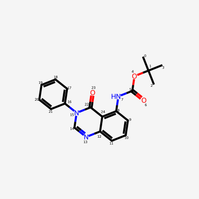 CC(C)(C)OC(=O)Nc1cccc2ncn(-c3ccccc3)c(=O)c12